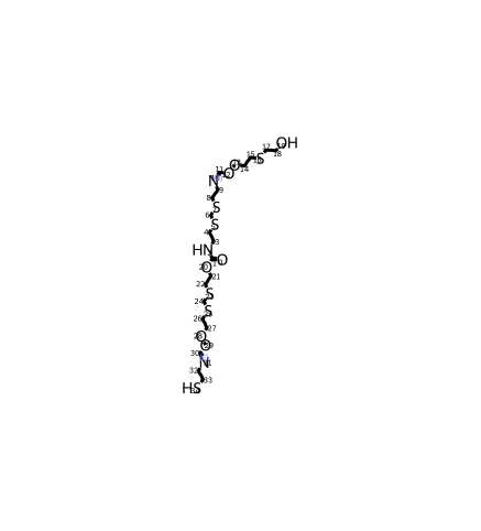 O=C(NCCSCSCC/N=C\OOCCSCCO)OCCSCSCCOO/C=N/CCS